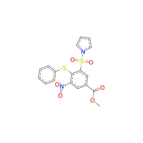 COC(=O)c1cc([N+](=O)[O-])c(Sc2ccccc2)c(S(=O)(=O)n2cccc2)c1